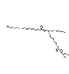 CCCCCCCCCCCCCCCCCC(=O)OCC(CCCCCCCC)CCCCCCCCC(=O)OCC(CC)CCCC